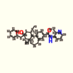 CCC[C@@]12CC[C@](O)(Cc3ccccc3)C[C@@H]1CCCc1cc(C(=O)Nc3cccnc3C)ccc12